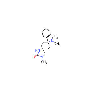 CN1CC2(CCC(c3ccccc3)(N(C)C)CC2)NC1=O